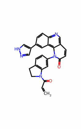 C=CC(=O)N1CCc2ccc(-n3c(=O)ccc4cnc5ccc(-c6cn[nH]c6)cc5c43)cc21